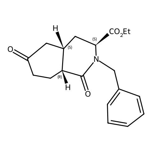 CCOC(=O)[C@@H]1C[C@H]2CC(=O)CC[C@H]2C(=O)N1Cc1ccccc1